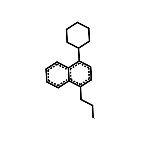 [CH2]CCc1ccc(C2CCCCC2)c2ccccc12